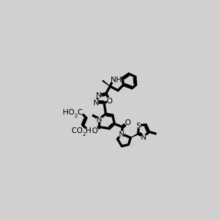 Cc1csc([C@H]2CCCN2C(=O)c2cc(-c3nnc([C@](C)(N)Cc4ccccc4)o3)n(C)c(=O)c2)n1.O=C(O)C=CC(=O)O